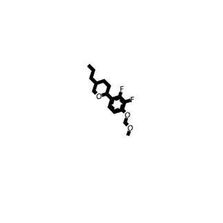 CCCC1CCC(c2ccc(OCOC)c(F)c2F)OC1